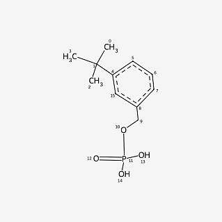 CC(C)(C)c1cccc(COP(=O)(O)O)c1